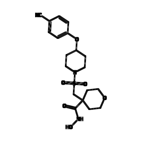 N#Cc1ccc(OC2CCN(S(=O)(=O)CC3(C(=O)NO)CCOCC3)CC2)cc1